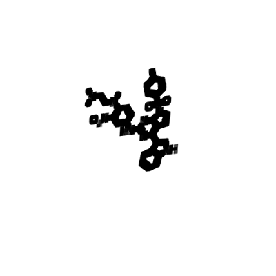 Cc1ccc(S(=O)(=O)n2ccc3c(-c4c[nH]c5ccccc45)nc(Nc4ccc(N(C)CCN(C)C)c([N+](=O)[O-])c4)nc32)cc1